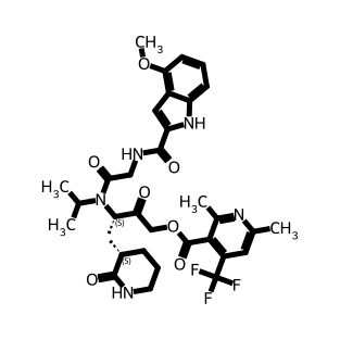 COc1cccc2[nH]c(C(=O)NCC(=O)N(C(C)C)[C@@H](C[C@@H]3CCCNC3=O)C(=O)COC(=O)c3c(C(F)(F)F)cc(C)nc3C)cc12